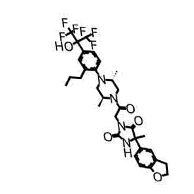 CCCc1cc(C(O)(C(F)(F)F)C(F)(F)F)ccc1N1C[C@H](C)N(C(=O)CN2C(=O)NC(C)(c3ccc4c(c3)CCO4)C2=O)C[C@H]1C